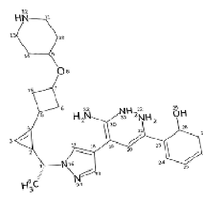 C[C@H](C1C=C1C1CC(OC2CCNCC2)C1)n1cc(C(/C=C(\N)C2=CC=CCC2O)=C(N)N)cn1